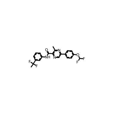 Cc1nc(-c2ccc(OC(F)F)cc2)cnc1C(=O)Nc1cccc(C(C)(F)F)c1